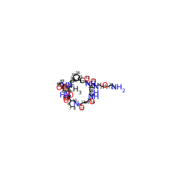 CCOC(=O)[C@@]12CCCN(C1)C(=O)/C=C/C(=O)NCC[C@@H](C(=O)NCCOCCN)NC(=O)Cc1ccccc1CNC(=O)[C@H](Cc1ccco1)NC2=O